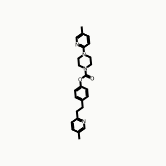 Cc1ccc(CCc2ccc(OC(=O)N3CCN(c4ccc(C)cn4)CC3)cc2)nc1